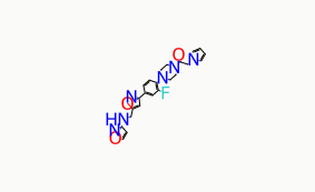 O=C(Cn1cccc1)N1CCN(c2ccc(-c3cc(CNc4ccon4)on3)cc2F)CC1